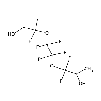 CC(O)C(F)(F)OC(F)(F)C(F)(F)OC(F)(F)CO